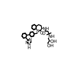 CC(C)(CC(=O)N[C@@H]1CCc2ccccc2N(Cc2ccc(-c3ccccc3-c3nc[nH]n3)cc2)C1=O)NC[C@H](O)CO